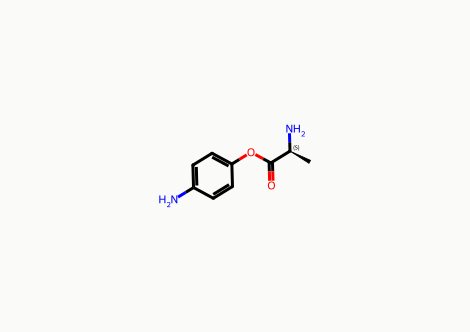 C[C@H](N)C(=O)Oc1ccc(N)cc1